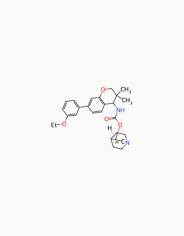 CCOc1cccc(-c2ccc3c(c2)OCC(C)(C)C3NC(=O)O[C@H]2CN3CCC2CC3)c1